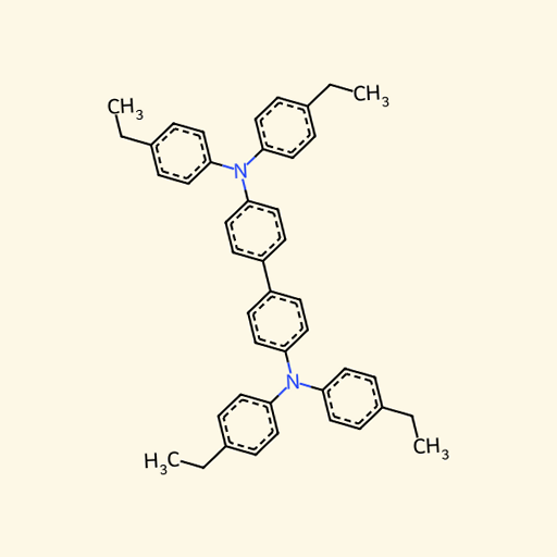 CCc1ccc(N(c2ccc(CC)cc2)c2ccc(-c3ccc(N(c4ccc(CC)cc4)c4ccc(CC)cc4)cc3)cc2)cc1